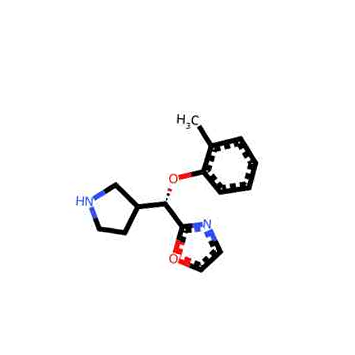 Cc1ccccc1O[C@H](c1ncco1)C1CCNC1